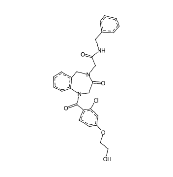 O=C(CN1Cc2ccccc2N(C(=O)c2ccc(OCCO)cc2Cl)CC1=O)NCc1ccccc1